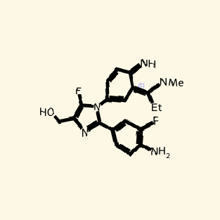 CC/C(NC)=C1\C=C(n2c(-c3ccc(N)c(F)c3)nc(CO)c2F)C=CC1=N